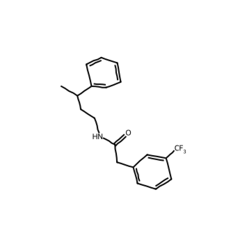 CC(CCNC(=O)Cc1cccc(C(F)(F)F)c1)c1ccccc1